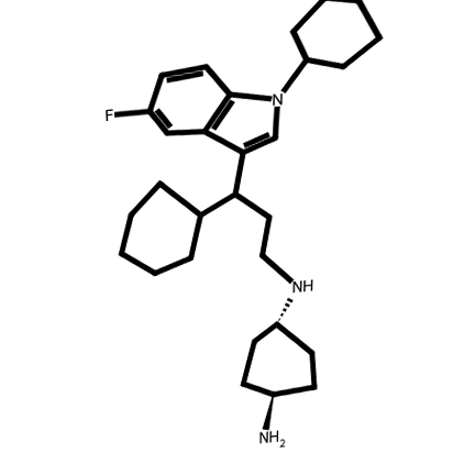 N[C@H]1CC[C@H](NCCC(c2cn(C3CCCCC3)c3ccc(F)cc23)C2CCCCC2)CC1